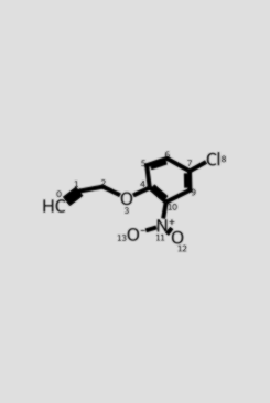 C#CCOc1ccc(Cl)cc1[N+](=O)[O-]